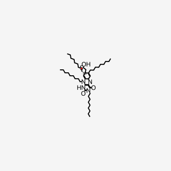 CCCCCCCCCC1=CC2=Nc3c([nH]c(=O)n(CCCCCCCCC)c3=O)N(CCCCCCCCC)C2=C[C@@]1(CCCCCCCCC)CC(O)=S